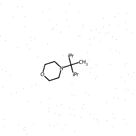 CC(C)C(C)(C(C)C)N1CCOCC1